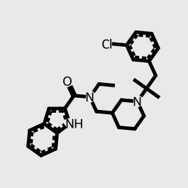 CCN(CC1CCCN(C(C)(C)Cc2cccc(Cl)c2)C1)C(=O)c1cc2ccccc2[nH]1